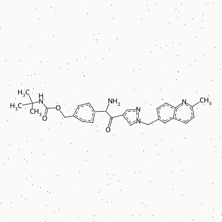 Cc1ccc2cc(Cn3cc(C(=O)C(N)c4ccc(COC(=O)NC(C)(C)C)cc4)cn3)ccc2n1